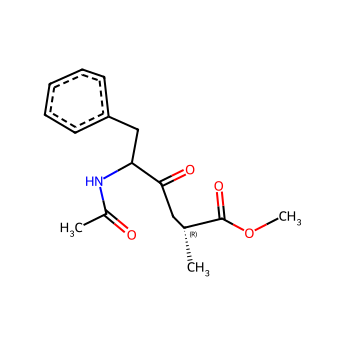 COC(=O)[C@H](C)CC(=O)C(Cc1ccccc1)NC(C)=O